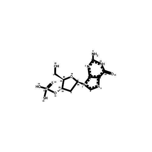 Nc1nc2c(ncn2[C@H]2C[C@H](OP(O)(=S)S)[C@@H](CO)O2)c(=O)[nH]1